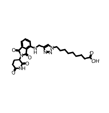 O=C(O)CCCCCCCCn1cc(CNc2cccc3c2C(=O)N(C2CCC(=O)NC2=O)C3=O)nn1